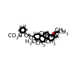 CC1(C)CCC23CC[C@@]4(C)C(CCC5[C@@]6(C)CCC(OCOc7ccccc7C(=O)O)C(C)(C)C6CC[C@]54C)C2C1OC3